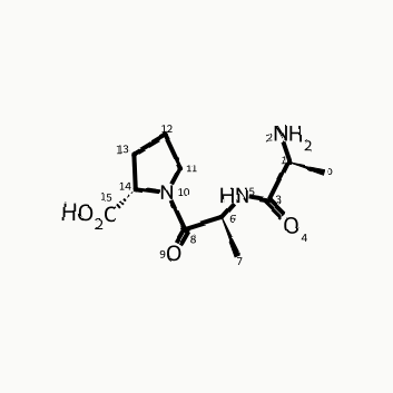 C[C@H](N)C(=O)N[C@@H](C)C(=O)N1CCC[C@H]1C(=O)O